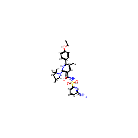 CCOc1ccc(-c2nc(N3CC(C)CC3(C)C)c(C(=O)NS(=O)(=O)c3cccc(N)n3)cc2C)cc1